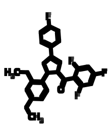 CCc1ccc(C2CC(c3ccc(F)cc3)=CC2C(=O)c2c(F)cc(F)cc2F)c(CC)c1